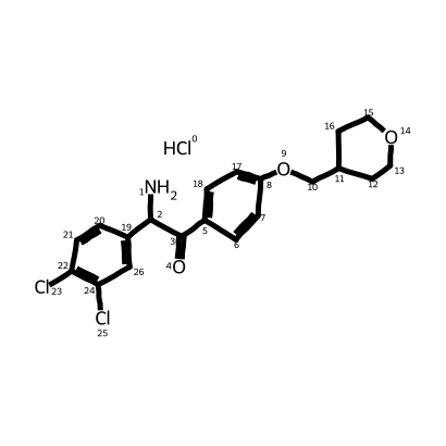 Cl.NC(C(=O)c1ccc(OCC2CCOCC2)cc1)c1ccc(Cl)c(Cl)c1